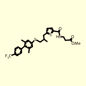 COC(=O)CCNC(=O)c1ccc(CC(C)CSc2cc(C)c(-c3ccc(C(F)(F)F)cc3)c(C)c2)s1